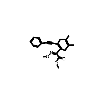 CON=C(C(=O)OC)C1=C(C#Cc2ccccc2)CC(C)=C(C)C1